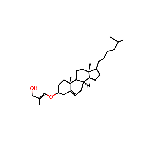 C/C(=C\OC1CC[C@@]2(C)C(=CC[C@H]3C4CCC(CCCCC(C)C)[C@@]4(C)CCC32)C1)CO